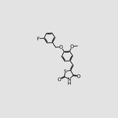 COc1cc(/C=C2\SC(=O)NC2=O)ccc1OCc1cccc(F)c1